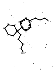 FCCCc1ccc(C2(CCCCBr)CCCCC2)cc1